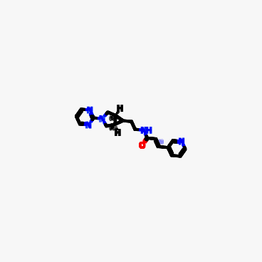 O=C(/C=C/c1cccnc1)NCCC1[C@H]2CN(c3ncccn3)C[C@@H]12